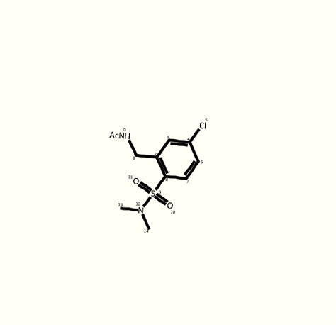 CC(=O)NCc1cc(Cl)ccc1S(=O)(=O)N(C)C